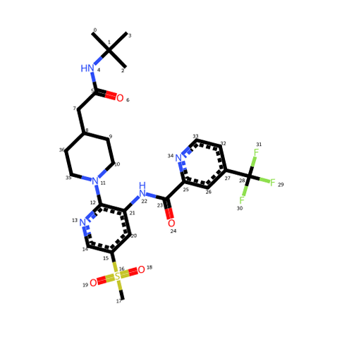 CC(C)(C)NC(=O)CC1CCN(c2ncc(S(C)(=O)=O)cc2NC(=O)c2cc(C(F)(F)F)ccn2)CC1